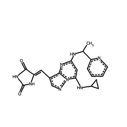 CC(Nc1cc(NC2CC2)n2ncc(/C=C3\NC(=O)NC3=O)c2n1)c1ccccn1